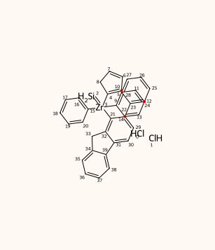 Cl.Cl.[SiH2]=[Zr]([C]1=CC=CC1)([c]1ccccc1)([c]1ccccc1)[c]1c(-c2ccccc2)ccc2c1Cc1ccccc1-2